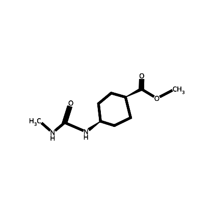 CNC(=O)N[C@H]1CC[C@@H](C(=O)OC)CC1